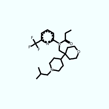 CCC(=O)N(CC1(C2CCN(CC(C)C)CC2)CCOCC1)c1cccc(C(F)(F)F)n1